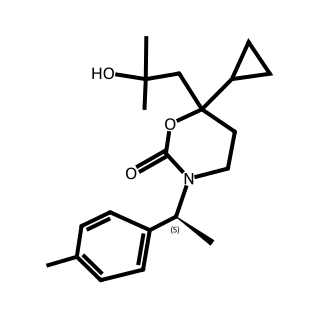 Cc1ccc([C@H](C)N2CCC(CC(C)(C)O)(C3CC3)OC2=O)cc1